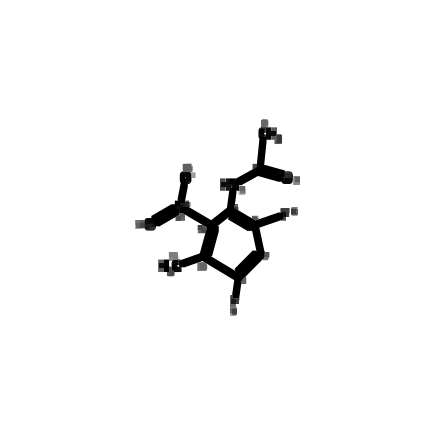 CC(=O)Nc1c(F)cc(F)c(C)c1[N+](=O)[O-]